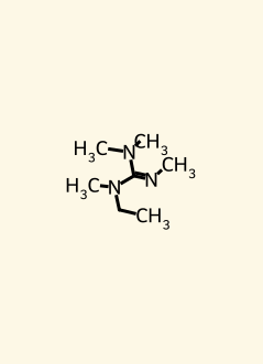 CCN(C)C(=NC)N(C)C